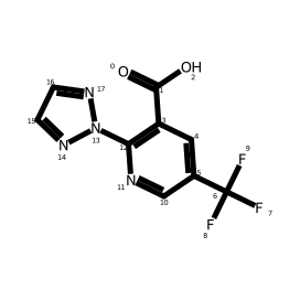 O=C(O)c1cc(C(F)(F)F)cnc1-n1nccn1